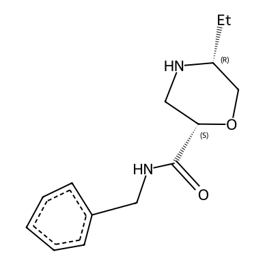 CC[C@@H]1CO[C@H](C(=O)NCc2ccccc2)CN1